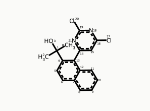 CC(C)(O)c1ccc2ccccc2c1-c1cc(Cl)nc(Cl)n1